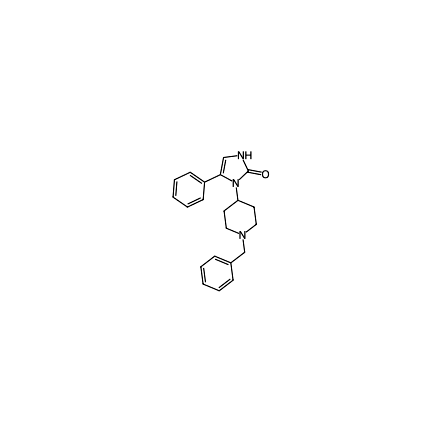 O=c1[nH]cc(-c2ccccc2)n1C1CCN(Cc2ccccc2)CC1